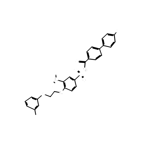 Cc1cccc(SCCNc2ccc(S(=O)(=O)NC(=O)c3ccc(-c4ccc(F)cc4)cc3)cc2[N+](=O)[O-])c1